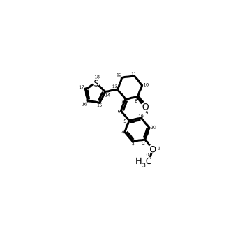 COc1ccc(C=C2C(=O)CCCC2c2cccs2)cc1